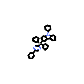 c1ccc(-c2cnc([Si](c3ccccc3)(c3ccccc3)c3ccc4c(c3)c3ccccc3n4-c3ccccc3)cn2)cc1